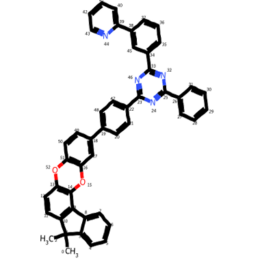 CC1(C)c2ccccc2-c2c1ccc1c2Oc2cc(-c3ccc(-c4nc(-c5ccccc5)nc(-c5cccc(-c6ccccn6)c5)n4)cc3)ccc2O1